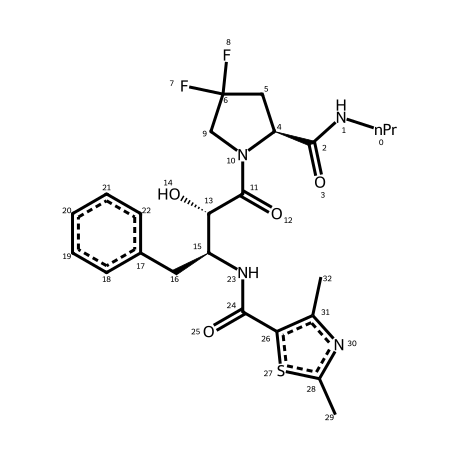 CCCNC(=O)[C@@H]1CC(F)(F)CN1C(=O)[C@@H](O)[C@H](Cc1ccccc1)NC(=O)c1sc(C)nc1C